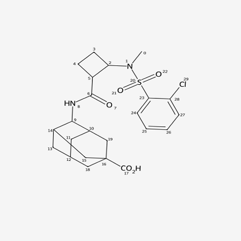 CN(C1CCC1C(=O)NC1C2CC3CC1CC(C(=O)O)(C3)C2)S(=O)(=O)c1ccccc1Cl